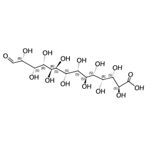 O=C[C@H](O)[C@@H](O)[C@H](O)[C@H](O)[C@@H](O)[C@@H](O)[C@H](O)[C@H](O)[C@H](O)[C@@H](O)[C@H](O)[C@H](O)C(=O)O